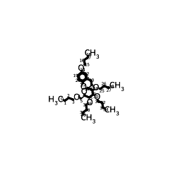 CCCCOC[C@H]1O[C@@]2(CCc3cc(OCCCC)ccc3O2)[C@@H](OCCCC)[C@@H](OCCCC)[C@@H]1OCCCC